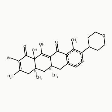 CC(=O)C1=C(C)C[C@]2(C)C[C@]3(C)Cc4ccc(C5CCOCC5)c(C)c4C(=O)C3=C(O)C2(O)C1=O